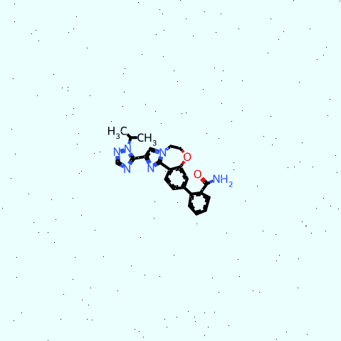 CC(C)n1ncnc1-c1cn2c(n1)-c1ccc(-c3ccccc3C(N)=O)cc1OCC2